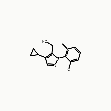 Cc1cccc(Cl)c1-n1ncc(C2CC2)c1CO